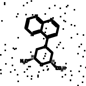 C[C@@H]1CN(c2ccnc3nccnc23)C[C@H](C(=O)O)O1